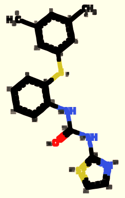 Cc1cc(C)cc(Sc2ccccc2NC(=O)Nc2nccs2)c1